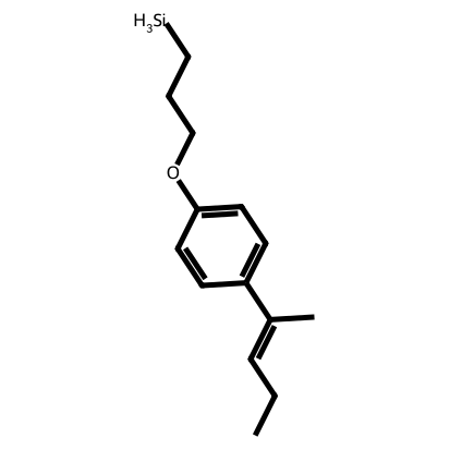 CC/C=C(\C)c1ccc(OCCC[SiH3])cc1